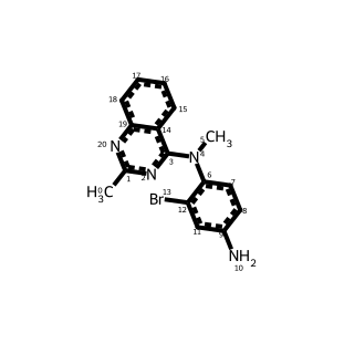 Cc1nc(N(C)c2ccc(N)cc2Br)c2ccccc2n1